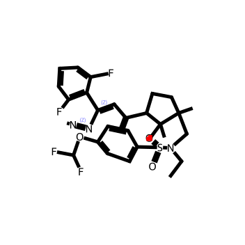 C=C(/C=C(\N=N/C)c1c(F)cccc1F)C1CCC(C)(CN(CC)S(=O)(=O)c2ccc(OC(F)F)cc2)C1(C)C